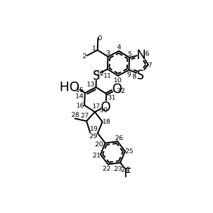 CC(C)c1cc2ncsc2cc1SC1=C(O)CC(CCc2ccc(F)cc2)(C(C)C)OC1=O